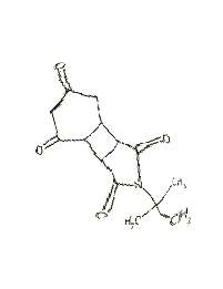 CC(C)(C)N1C(=O)C2C3CC(=O)CC(=O)C3C2C1=O